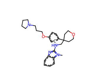 Cn1c(NCC2(c3ccc(OCCCN4CCCC4)cc3)CCOCC2)nc2ccccc21